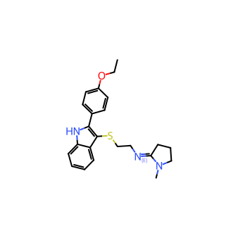 CCOc1ccc(-c2[nH]c3ccccc3c2SCC/N=C2\CCCN2C)cc1